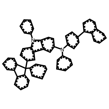 c1ccc(N(c2ccc(-c3cccc4ccccc34)cc2)c2ccc3c(c2)c2cc(C4(c5ccccc5)c5ccccc5-c5ccccc54)ccc2n3-c2ccccc2)cc1